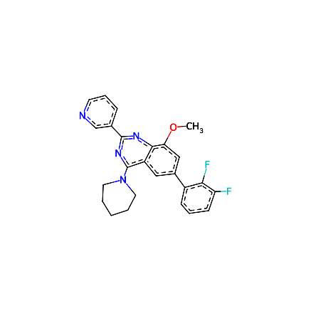 COc1cc(-c2cccc(F)c2F)cc2c(N3CCCCC3)nc(-c3cccnc3)nc12